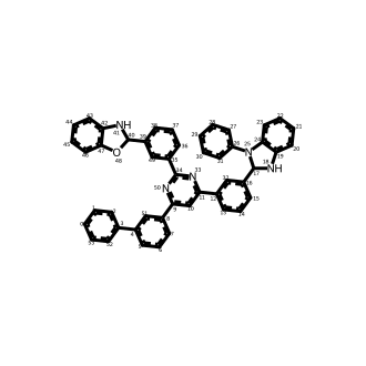 c1ccc(-c2cccc(-c3cc(-c4cccc(C5Nc6ccccc6N5c5ccccc5)c4)nc(-c4cccc(C5Nc6ccccc6O5)c4)n3)c2)cc1